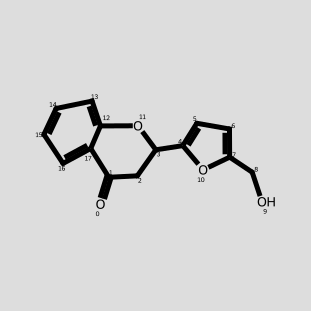 O=C1CC(c2ccc(CO)o2)Oc2ccccc21